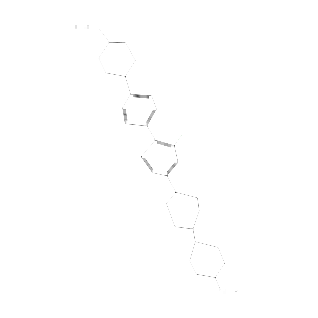 CCCCCC1CCC(c2ccc(-c3ccc(C4CCC(C5CCC(CCCCC)CC5)CC4)cc3F)cc2)CC1